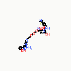 Cc1ncsc1-c1ccc([C@H](C)NC(=O)[C@@H]2C[C@@H](O)CN2C(=O)[C@@H](c2cc(OCCOCCOCCCCN3CC4(C3)CN(c3cc(-c5ccccc5O)nnc3N)C4)no2)C(C)C)cc1